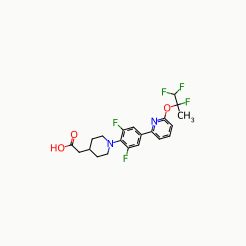 CC(F)(Oc1cccc(-c2cc(F)c(N3CCC(CC(=O)O)CC3)c(F)c2)n1)C(F)F